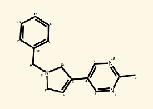 Cc1ncc(C2=CCN(Cc3ccccc3)C2)cn1